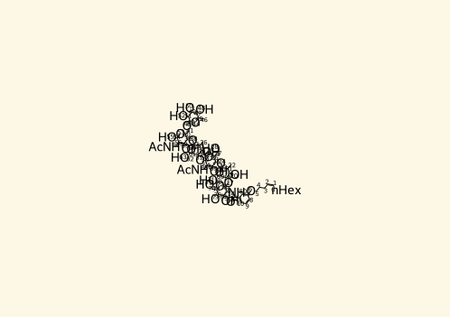 CCCCCC/C=C\CCCOc1cccc(C(=O)NC2[C@H](O[C@H]3C(O)C(C)[C@H](O[C@@H]4C(CO)O[C@@H](O[C@H]5C(O)C(C)[C@H](O[C@@H]6C(CO[C@@H]7OC(C)[C@@H](O)C(O)[C@H]7O)OC(O)C(NC(C)=O)[C@H]6O)O[C@H]5CO)C(NC(C)=O)[C@H]4O)O[C@H]3CO)OC(CO)[C@@H](O)[C@@H]2O)c1